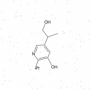 CC(C)c1ncc(C(C)CO)cc1O